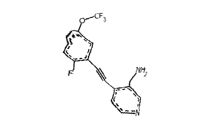 Nc1cnccc1C#Cc1cc(OC(F)(F)F)ccc1F